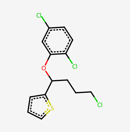 ClCCCC(Oc1cc(Cl)ccc1Cl)c1cccs1